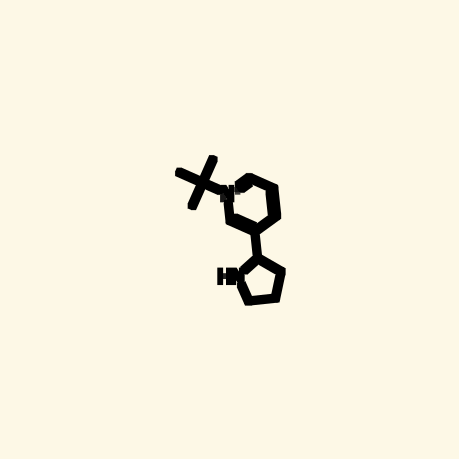 CC(C)(C)[n+]1cccc(C2CCCN2)c1